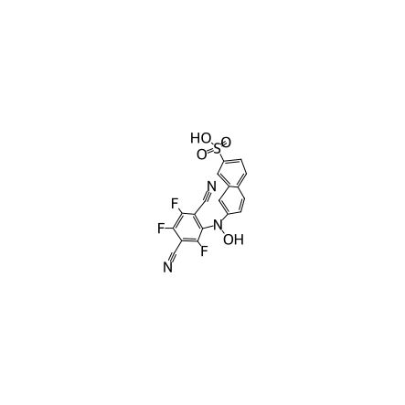 N#Cc1c(F)c(F)c(C#N)c(N(O)c2ccc3ccc(S(=O)(=O)O)cc3c2)c1F